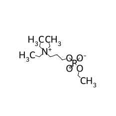 CCOP(=O)([O-])OCCC[N+](CC)(CC)CC